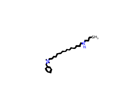 C[N+](C)(CCCCCCCCCCCCCCCNCCC[SiH3])Cc1ccccc1